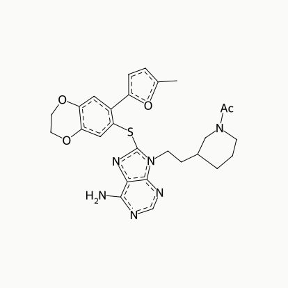 CC(=O)N1CCCC(CCn2c(Sc3cc4c(cc3-c3ccc(C)o3)OCCO4)nc3c(N)ncnc32)C1